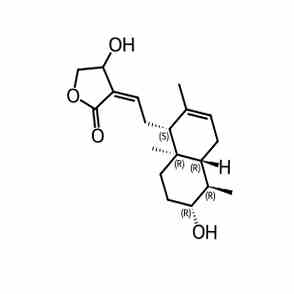 CC1=CC[C@@H]2[C@@H](C)[C@H](O)CC[C@@]2(C)[C@@H]1CC=C1C(=O)OCC1O